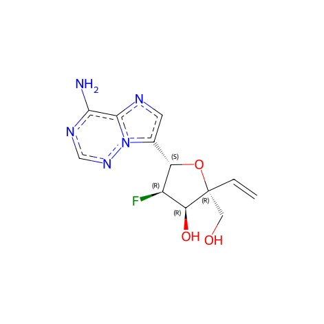 C=C[C@]1(CO)O[C@@H](c2cnc3c(N)ncnn23)[C@H](F)[C@@H]1O